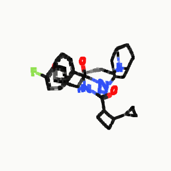 O=C(Cc1ccc(F)cc1)NC1CC2CCC(C1)N2CC[C@H](NC(=O)C1CCC1C1CC1)c1ccccc1